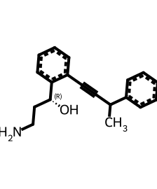 CC(C#Cc1ccccc1[C@H](O)CCN)c1ccccc1